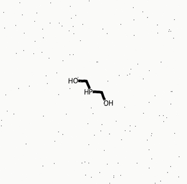 OCPCO